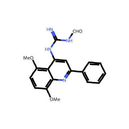 COc1ccc(OC)c2c(NC(=N)NC=O)cc(-c3ccccc3)nc12